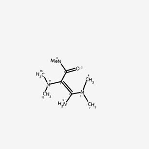 CNC(=O)/C(=C(/N)N(C)C)N(C)C